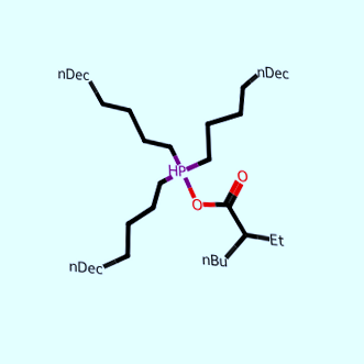 CCCCCCCCCCCCCC[PH](CCCCCCCCCCCCCC)(CCCCCCCCCCCCCC)OC(=O)C(CC)CCCC